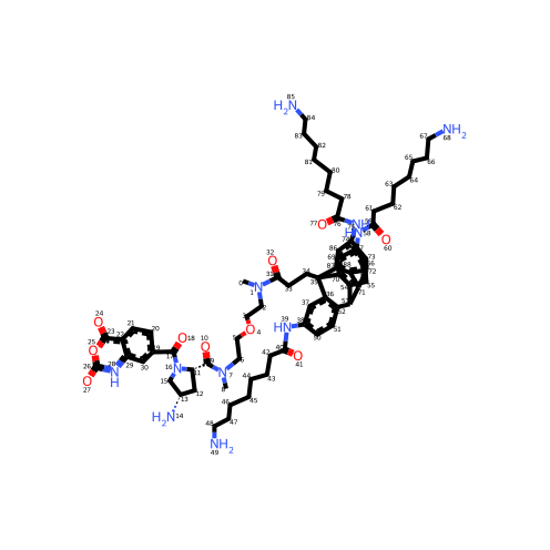 CN(CCOCCN(C)C(=O)[C@@H]1C[C@H](N)CN1C(=O)c1ccc2c(=O)oc(=O)[nH]c2c1)C(=O)CCC12c3cc(NC(=O)CCCCCCCN)ccc3C(c3ccc(NC(=O)CCCCCCCN)cc31)C1c3cc(NC(=O)CCCCCCCN)cc2c31